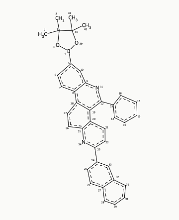 CC1(C)OB(c2ccc3c(c2)nc(-c2ccccc2)c2c4ccc(-c5ccc6ccccc6c5)nc4ccc32)OC1(C)C